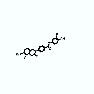 CCCC1CCC2CC(c3ccc(C(=O)Oc4ccc(C#N)c(F)c4)cc3)C(F)CC2C1F